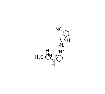 Cc1cc(Nc2cccc(N3CCN(C(=O)Nc4cccc(C#N)c4)CC3)n2)n[nH]1